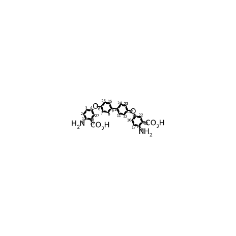 Nc1ccc(Oc2ccc(-c3ccc(Oc4ccc(N)c(C(=O)O)c4)cc3)cc2)cc1C(=O)O